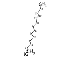 CCCCCCCCCCCCCC.[C]